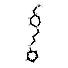 NCC1CCN(CCCOc2ccccc2)CC1